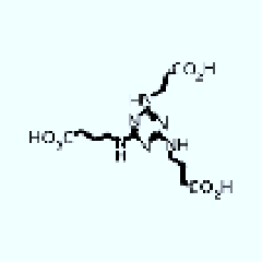 O=C(O)CCCNc1nc(NCCCC(=O)O)nc(NCCC(=O)O)n1